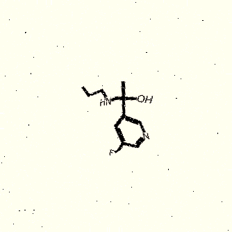 CCCNC(C)(O)c1cncc(F)c1